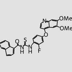 COc1cc2nccc(Oc3ccc(NC(=S)NC(=O)c4cccc5ccccc45)c(F)c3)c2cc1OC